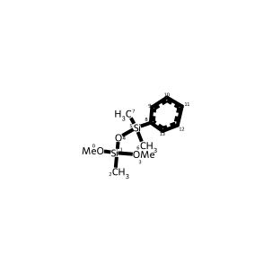 CO[Si](C)(OC)O[Si](C)(C)c1ccccc1